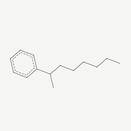 CCCCCCC(C)c1ccccc1